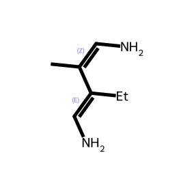 CCC(=C\N)/C(C)=C\N